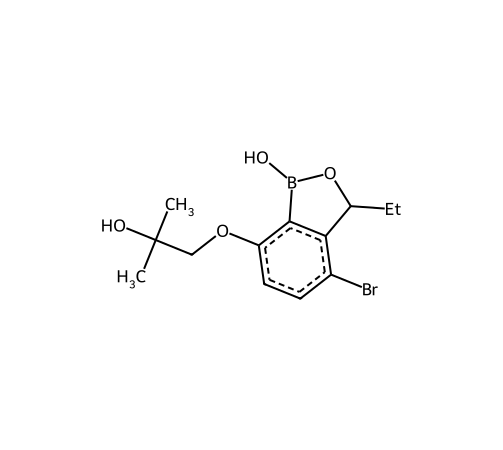 CCC1OB(O)c2c(OCC(C)(C)O)ccc(Br)c21